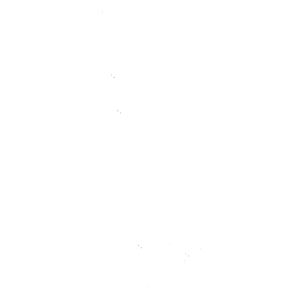 O=C(NO)C1C[C@H]2CCC[C@H]2N1S(=O)(=O)c1ccc(-c2ccc(N3CCN(c4ccc(F)cc4)CC3)cc2)cc1